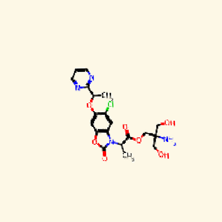 CC(Oc1cc2oc(=O)n(C(C)C(=O)OCC(N)(CO)CO)c2cc1Cl)c1ncccn1